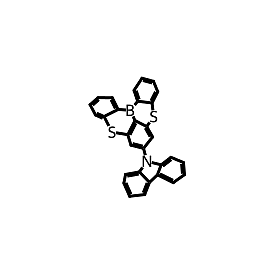 c1ccc2c(c1)Sc1cc(-n3c4ccccc4c4ccccc43)cc3c1B2c1ccccc1S3